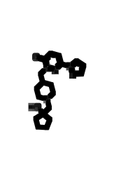 O=c1ccc(-n2cccn2)nn1CC1CCN(CC2(O)CCCC2)CC1